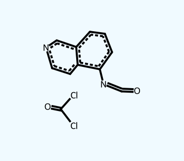 O=C(Cl)Cl.O=C=Nc1cccc2cnccc12